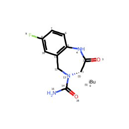 CC[C@H](C)[C@H]1C(=O)Nc2ccc(F)cc2CN1C(N)=O